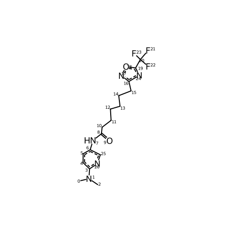 CN(C)c1ccc(NC(=O)CCCCCCc2noc(C(F)(F)F)n2)cn1